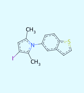 Cc1cc(I)c(C)n1-c1ccc2sccc2c1